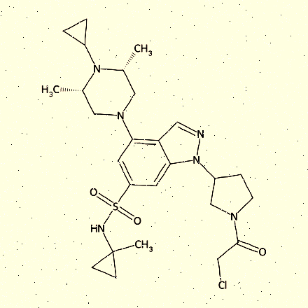 C[C@@H]1CN(c2cc(S(=O)(=O)NC3(C)CC3)cc3c2cnn3C2CCN(C(=O)CCl)C2)C[C@H](C)N1C1CC1